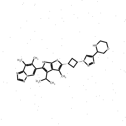 Cc1c(-c2[nH]c3sc([C@H]4C[C@@H](n5cc(C6COCCN6)nn5)C4)c(C)c3c2C(C)C)cn2ncnc2c1C